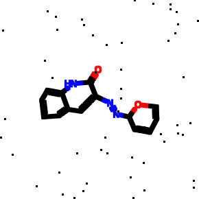 O=c1[nH]c2ccccc2cc1N=NC1C=CC=CO1